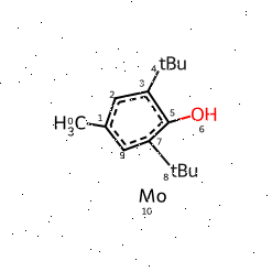 Cc1cc(C(C)(C)C)c(O)c(C(C)(C)C)c1.[Mo]